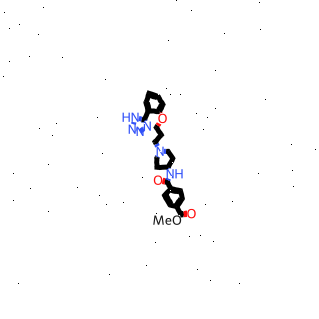 COC(=O)c1ccc(C(=O)NC2CCN(CCCOc3ccccc3-c3nnn[nH]3)CC2)cc1